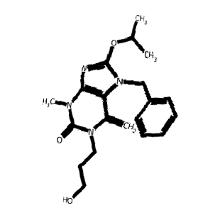 C=C1c2c(nc(OC(C)C)n2Cc2ccccc2)N(C)C(=O)N1CCCO